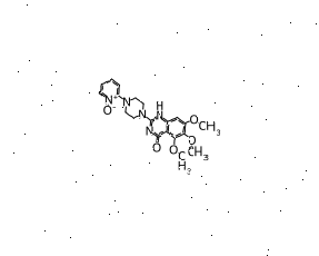 COc1cc2[nH]c(N3CCN(c4cccc[n+]4[O-])CC3)nc(=O)c2c(OC)c1OC